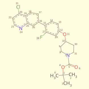 CC(C)(C)OC(=O)N1CCC(Oc2ccc(-c3ccc4c(Cl)ccnc4c3)c(F)c2)CC1